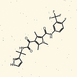 Cc1c(C(=O)C(=O)NC(C)(C)c2cc[nH]n2)c(C)n(C)c1C(=O)Nc1ccc(F)c(C(F)(F)F)c1